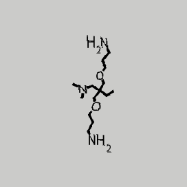 CCC(COCCCN)(COCCCN)CN(C)C